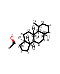 CC(=O)[C@H]1CC[C@H]2[C@@H]3CC[C@H]4CCCC(C)[C@]4(C)[C@H]3CC[C@]12C